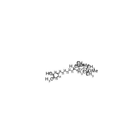 CO[Si](C)(C)C(C)CCC(CCCCCCCCc1ccc(C)c(O)c1)[Si](C)(C)OC